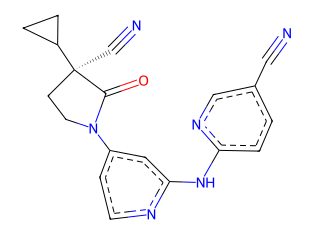 N#Cc1ccc(Nc2cc(N3CC[C@@](C#N)(C4CC4)C3=O)ccn2)nc1